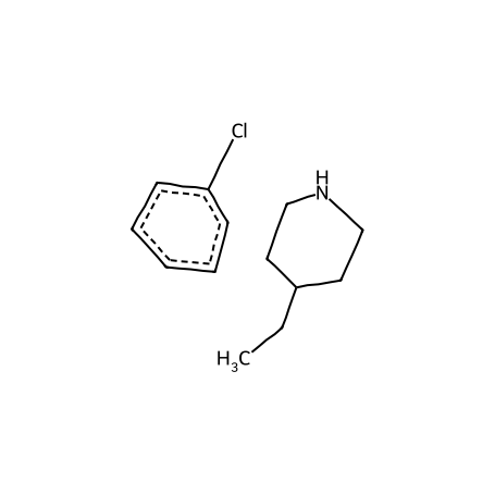 CCC1CCNCC1.Clc1ccccc1